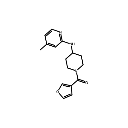 Cc1ccnc(NC2CCN(C(=O)c3ccoc3)CC2)c1